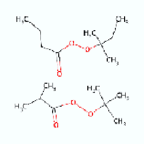 CC(C)C(=O)OOC(C)(C)C.CCCC(=O)OOC(C)(C)CC